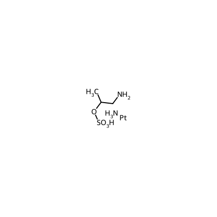 CC(CN)OS(=O)(=O)O.N.[Pt]